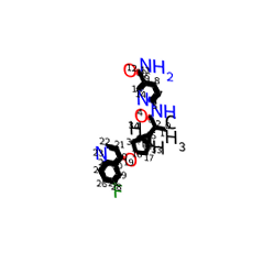 CCC(C(=O)Nc1ccc(C(N)=O)cn1)C1[C@H]2CC(Oc3ccnc4ccc(F)cc34)C[C@@H]12